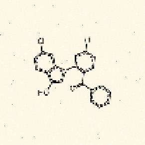 O=C(c1ccccc1)c1ccc(Cl)cc1-n1cc(O)c2ccc(Cl)cc21